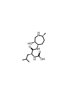 CC(C)C[C@H](NC(=O)O)C(=O)N[C@@H]1CC[C@H](C)NC[C@@H]1O